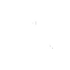 N#Cc1ccc2cccc(Cl)c2c1